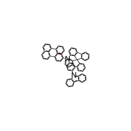 c1ccc(-c2cccc3cccc(-c4ccc(N(c5ccc(-n6c7ccccc7c7ccccc76)cc5)c5cccc6c5C5(c7ccccc7-c7ccccc75)c5ccccc5-6)cc4)c23)cc1